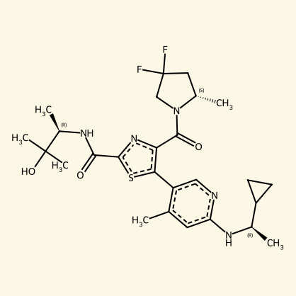 Cc1cc(N[C@H](C)C2CC2)ncc1-c1sc(C(=O)N[C@H](C)C(C)(C)O)nc1C(=O)N1CC(F)(F)C[C@@H]1C